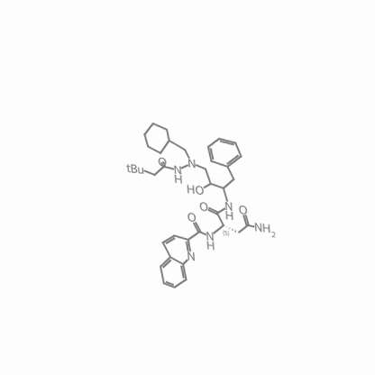 CC(C)(C)CC(=O)NN(CC1CCCCC1)CC(O)C(Cc1ccccc1)NC(=O)[C@H](CC(N)=O)NC(=O)c1ccc2ccccc2n1